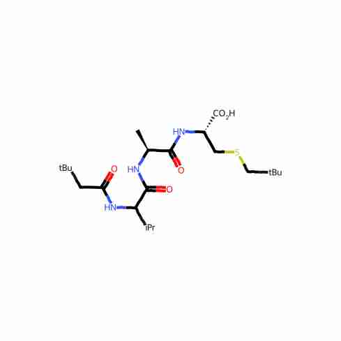 CC(C)C(NC(=O)CC(C)(C)C)C(=O)N[C@@H](C)C(=O)N[C@@H](CSCC(C)(C)C)C(=O)O